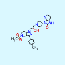 CS(=O)(=O)N1CCc2c(c(-c3ccc(C(F)(F)F)cc3)nn2CC(O)CN2CCC(n3c(=O)[nH]c4cccnc43)CC2)C1